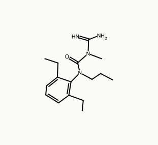 CCCN(C(=O)N(C)C(=N)N)c1c(CC)cccc1CC